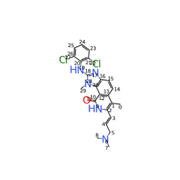 Cc1c(C=CCN(C)C)[nH]c(=O)c2c1ccc1nc(Nc3c(Cl)cccc3Cl)n(C)c12